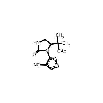 CC(=O)OC(C)(C)C1CNC(=O)N1c1nocc1C#N